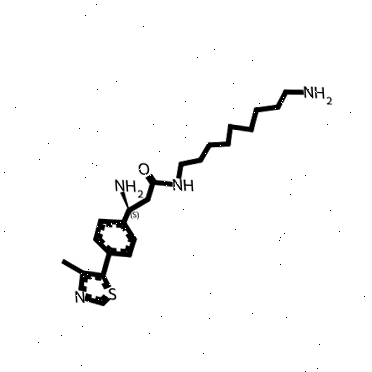 Cc1ncsc1-c1ccc([C@@H](N)CC(=O)NCCCCCCCCCN)cc1